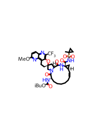 COc1ccc2nc(C(F)(F)F)c3c(c2n1)CC[C@]1(C[C@H]2C(=O)N[C@]4(C(=O)NS(=O)(=O)C5(C)CC5)C[C@H]4/C=C\CCCCC[C@H](NC(=O)OCC(C)C)C(=O)N2C1)O3